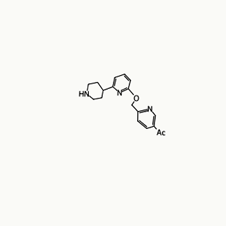 CC(=O)c1ccc(COc2cccc(C3CCNCC3)n2)nc1